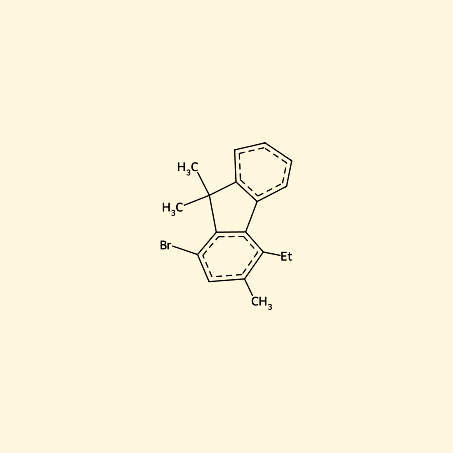 CCc1c(C)cc(Br)c2c1-c1ccccc1C2(C)C